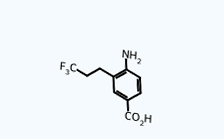 Nc1ccc(C(=O)O)cc1CCC(F)(F)F